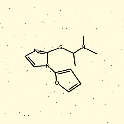 CC(Sc1nccn1-c1ccco1)N(C)C